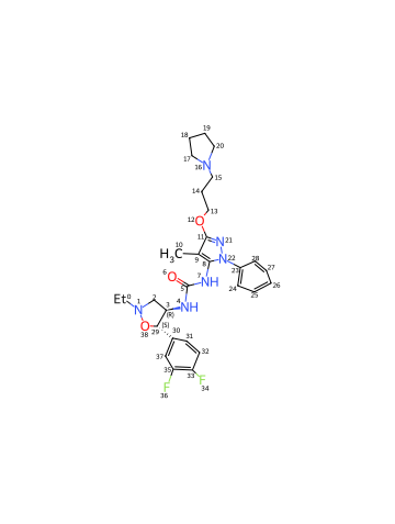 CCN1C[C@@H](NC(=O)Nc2c(C)c(OCCCN3CCCC3)nn2-c2ccccc2)[C@H](c2ccc(F)c(F)c2)O1